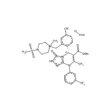 COC(=O)C1=C(C)N(c2cccc(C(F)(F)F)c2)c2n[nH]c(=O)n2[C@@H]1c1ccc(C#N)cc1C[N+]1(C)CCN(S(C)(=O)=O)CC1.O=C[O-]